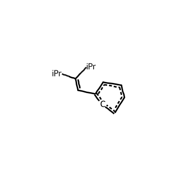 CC(C)C(=Cc1ccccc1)C(C)C